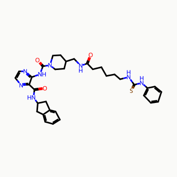 O=C(CCCCCNC(=S)Nc1ccccc1)NCC1CCN(C(=O)Nc2nccnc2C(=O)NC2Cc3ccccc3C2)CC1